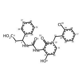 O=C(O)CC(NC(=O)Nc1c(O)ccn(Cc2ccccc2Cl)c1=O)c1cccnc1